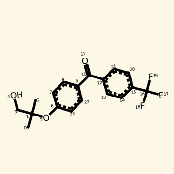 CC(C)(CO)Oc1ccc(C(=O)c2ccc(C(F)(F)F)cc2)cc1